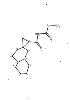 NCC(=O)NC(=O)C1CC12CCC1CCCCC1C2